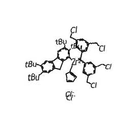 CC(C)(C)c1cc2c(cc1C(C)(C)C)-c1cc(C(C)(C)C)c(C(C)(C)C)[c]([Zr+2]([C]3=CC=CC3)=[C](c3cc(CCl)cc(CCl)c3)c3cc(CCl)cc(CCl)c3)c1C2.[Cl-].[Cl-]